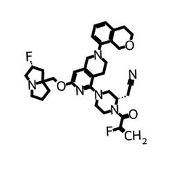 C=C(F)C(=O)N1CCN(c2nc(OCC34CCCN3C[C@H](F)C4)cc3c2CCN(c2cccc4c2COCC4)C3)C[C@@H]1CC#N